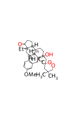 CC[C@]12C[C@@H]3c4ccc(OC)cc4C[C@]45CCC6(CC(C)(C)COO6)C[C@]4(O)CC[C@H]([C@H]35)[C@@H]1CCC2=O